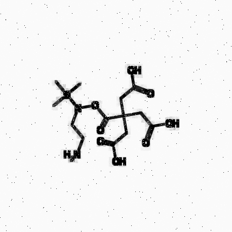 C[Si](C)(C)N(CCN)OC(=O)C(CC(=O)O)(CC(=O)O)CC(=O)O